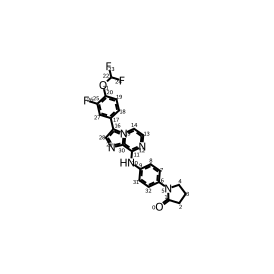 O=C1CCCN1c1ccc(Nc2nccn3c(-c4ccc(OC(F)F)c(F)c4)cnc23)cc1